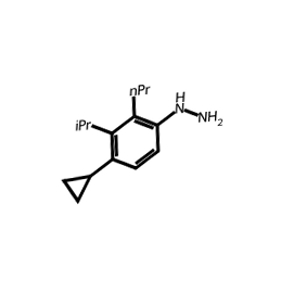 CCCc1c(NN)ccc(C2CC2)c1C(C)C